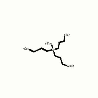 CCCCCCCCCCCCC[N+](CCCCCCCCCC)(CCCCCCCCCCCCC)CCCCCCCCCCCCC